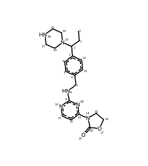 CCC(c1ccc(CNc2nccc(N3CCOC3=O)n2)cc1)N1CCNCC1